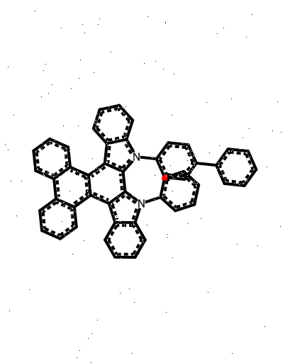 c1ccc(-c2ccc(-n3c4ccccc4c4c5c6ccccc6c6ccccc6c5c5c6ccccc6n(-c6ccccc6)c5c43)cc2)cc1